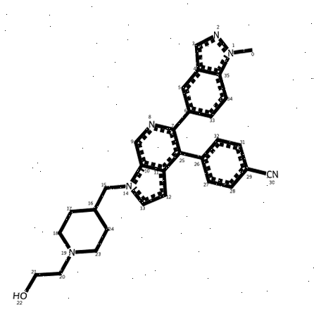 Cn1ncc2cc(-c3ncc4c(ccn4CC4CCN(CCO)CC4)c3-c3ccc(C#N)cc3)ccc21